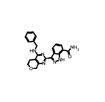 NC(=O)c1cccc2c(-c3nc4c(c(NCc5ccccc5)n3)CCOC4)n[nH]c12